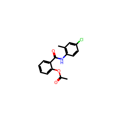 CC(=O)Oc1ccccc1C(=O)Nc1ccc(Cl)cc1C